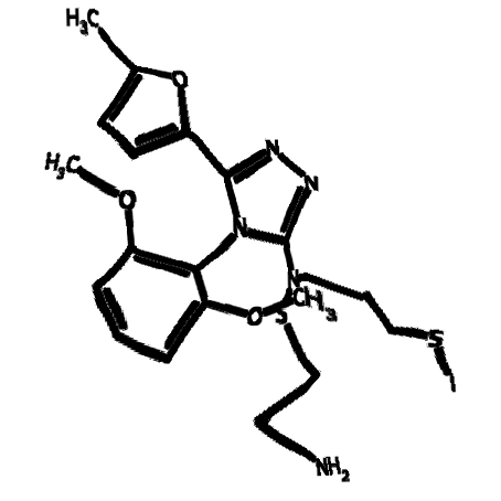 COc1cccc(OC)c1-n1c(-c2ccc(C)o2)nnc1N(CCSI)SCCN